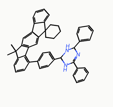 CC1(C)c2cc3c(cc2-c2c(-c4ccc(C5NC(c6ccccc6)=NC(c6ccccc6)N5)cc4)cccc21)C1(CCCCC1)c1ccccc1-3